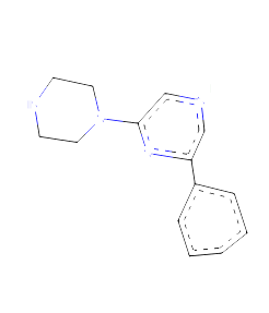 Cl.Cl.c1ccc(-c2cncc(N3CCNCC3)n2)cc1